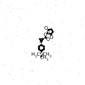 C[Si](C)(C)c1ccc([C@@H]2C[C@H]2C(=O)ON2C(=O)CCC2=O)cc1